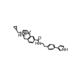 C[C@H]1[C@H]2Cc3ccc(C(=O)NCCc4ccc(-c5cc[nH]c5)cc4)cc3[C@@]1(C)CCN2CC1CC1